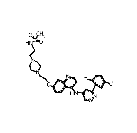 CS(=O)(=O)NCCN1CCN(CCOc2ccc3c(Nc4cnnc(-c5cc(Cl)ccc5F)c4)ccnc3c2)CC1